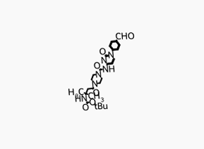 CC(C)(CC(=O)N1CCN(C(=O)Nc2ccn(-c3ccc(C=O)cc3)c(=O)n2)CC1)NC(=O)OC(C)(C)C